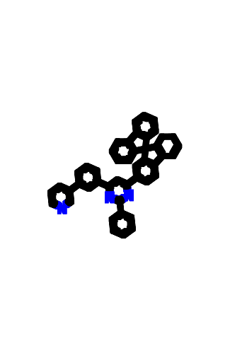 C1=CC2=C(CC1)C1(c3cc(-c4cc(-c5cccc(-c6cccnc6)c5)nc(-c5ccccc5)n4)ccc32)c2ccccc2-c2ccccc21